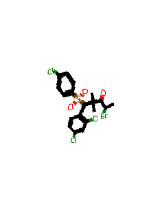 CC(Br)C(=O)C(C)(C)C(c1ccc(Cl)cc1Cl)S(=O)(=O)c1ccc(Cl)cc1